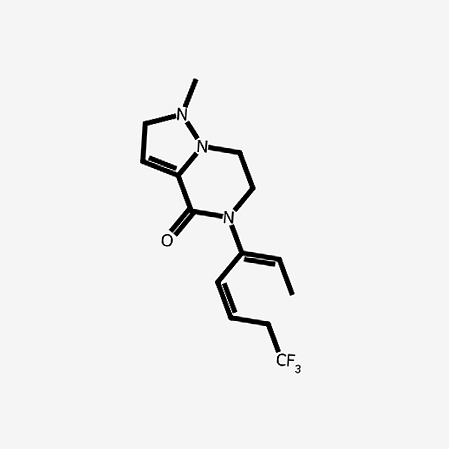 C/C=C(\C=C/CC(F)(F)F)N1CCN2C(=CCN2C)C1=O